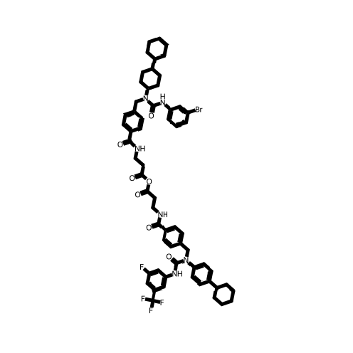 O=C(CCNC(=O)c1ccc(CN(C(=O)Nc2cc(F)cc(C(F)(F)F)c2)c2ccc(C3CCCCC3)cc2)cc1)OC(=O)CCNC(=O)c1ccc(CN(C(=O)Nc2cccc(Br)c2)C2CCC(C3CCCCC3)CC2)cc1